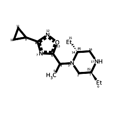 CC[C@H]1CN(C(C)c2nc(C3CC3)no2)[C@H](CC)CN1